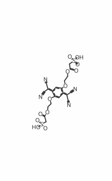 N#CC(C#N)=c1cc(OCCOC(=O)CS(=O)(=O)O)c(=C(C#N)C#N)cc1OCCOC(=O)CS(=O)(=O)O